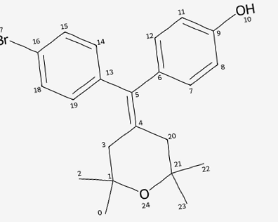 CC1(C)CC(=C(c2ccc(O)cc2)c2ccc(Br)cc2)CC(C)(C)O1